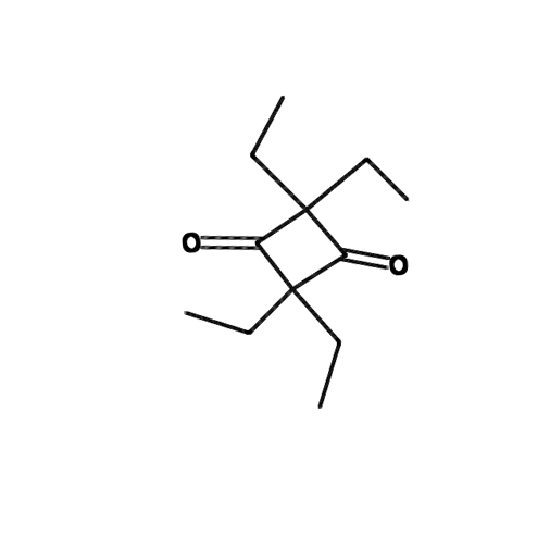 CCC1(CC)C(=O)C(CC)(CC)C1=O